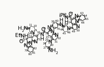 CCNC(=O)c1cc2c(N3CCC[C@@H](N)C3)c(CNC(=O)c3cc4c(N5CCC[C@@H](N)C5)ccnc4n4c3nc3ccc(N[C@@H]5CCCN(c6ccnc7c6cc(C(=O)NC(C)C)c6nc8ccccc8n67)C5)cc34)cnc2n2c1nc1ccccc12